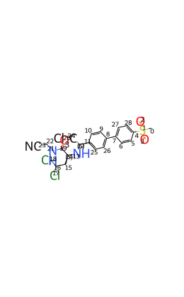 CS(=O)(=O)c1ccc(-c2ccc([C@H](N[C@@H](CC(Cl)Cl)C(=O)NCC#N)C(Cl)(Cl)Cl)cc2)cc1